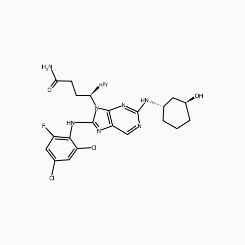 CCC[C@H](CCC(N)=O)n1c(Nc2c(F)cc(Cl)cc2Cl)nc2cnc(N[C@H]3CCC[C@H](O)C3)nc21